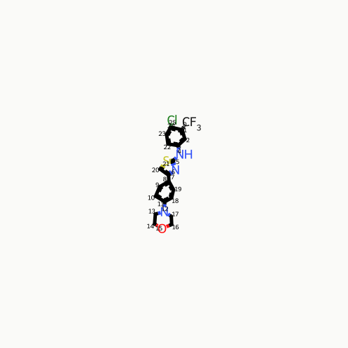 FC(F)(F)c1cc(Nc2nc(-c3ccc(N4CCOCC4)cc3)cs2)ccc1Cl